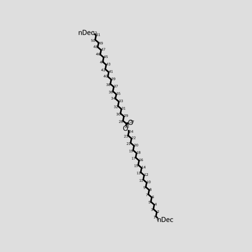 CCCCCCCCCCCCCCCCCCCCCCCCCCCCCCCCCCOC(=O)CCCCCCCCCCCCCCCCCCCCCCCCCCCCCCCCCC